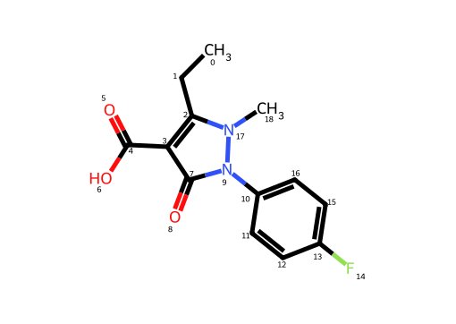 CCc1c(C(=O)O)c(=O)n(-c2ccc(F)cc2)n1C